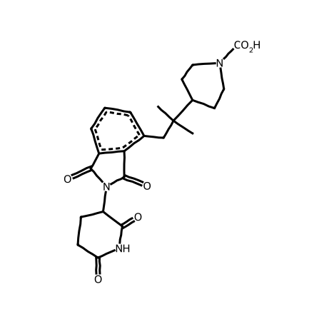 CC(C)(Cc1cccc2c1C(=O)N(C1CCC(=O)NC1=O)C2=O)C1CCN(C(=O)O)CC1